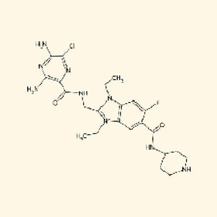 CCn1c(CNC(=O)c2nc(Cl)c(N)nc2N)[n+](CC)c2cc(C(=O)NC3CCNCC3)c(F)cc21